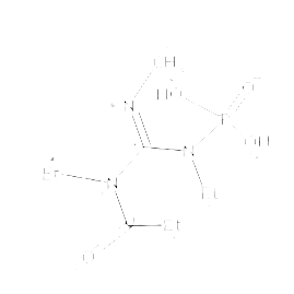 CCC(=O)N(CC)C(=NC)N(CC)P(=O)(O)O